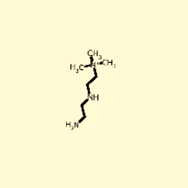 C[N+](C)(C)CCNCCN